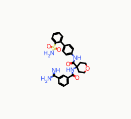 N=C(N)c1cccc(C(=O)NC2(C(=O)Nc3ccc(-c4ccccc4S(N)(=O)=O)cc3)CCOCC2)c1